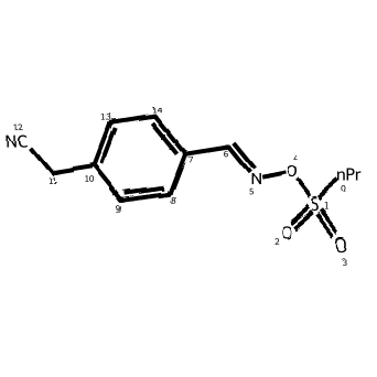 CCCS(=O)(=O)ON=Cc1ccc(CC#N)cc1